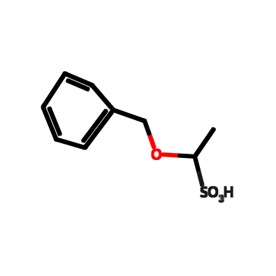 CC(OCc1ccccc1)S(=O)(=O)O